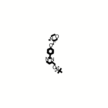 CN1CCOC[C@@H]1COc1ccc(-c2nccc(CO[Si](C)(C)C(C)(C)C)n2)cc1